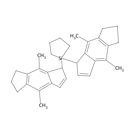 Cc1c2c(c(C)c3c1CCC3)C([Si]1(C3C=Cc4c(C)c5c(c(C)c43)CCC5)CCCC1)C=C2